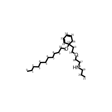 CCCCCCCCCCCOC1(CCOCCNCCC)C=CC=CC1